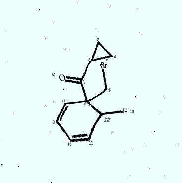 O=C(C1CC1)C1(CBr)C=CC=CC1F